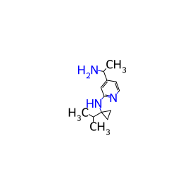 CC(N)c1ccnc(NC2(C(C)C)CC2)c1